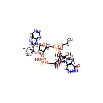 CC(C)(C)[Si](C)(C)O[C@@H]1[C@@H]2OP(O)(=S)OC[C@H]3OC(n4cnc5c(=O)[nH]ncc54)[C@H](OP(=S)(OCCC#N)OC[C@H]2O[C@H]1n1cnc2cncnc21)[C@@H]3O[Si](C)(C)C(C)(C)C